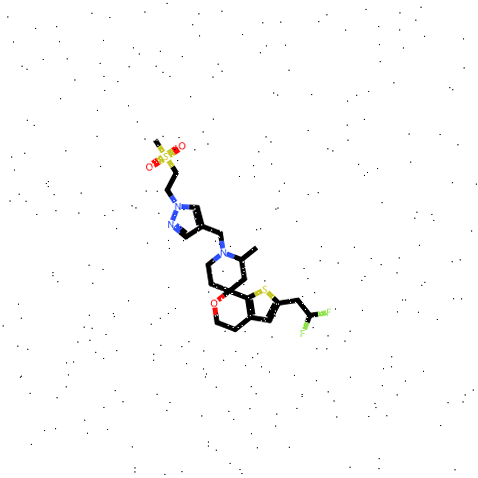 CC1CC2(CCN1Cc1cnn(CCS(C)(=O)=O)c1)OCCc1cc(CC(F)F)sc12